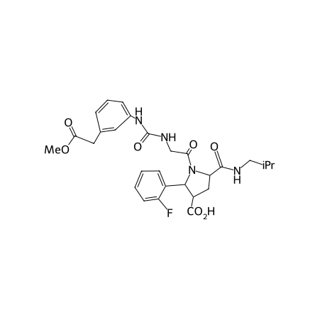 COC(=O)Cc1cccc(NC(=O)NCC(=O)N2C(C(=O)NCC(C)C)CC(C(=O)O)C2c2ccccc2F)c1